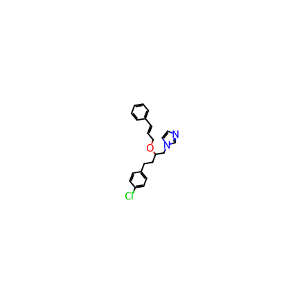 Clc1ccc(CCC(Cn2ccnc2)OCC=Cc2ccccc2)cc1